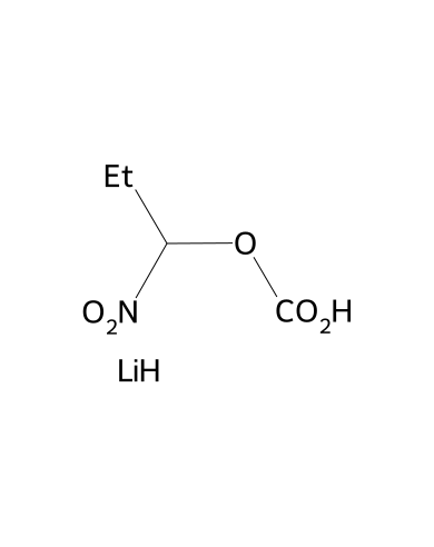 CCC(OC(=O)O)[N+](=O)[O-].[LiH]